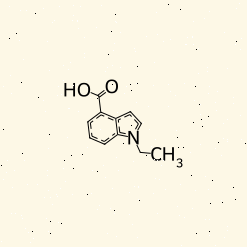 CCn1ccc2c(C(=O)O)cccc21